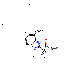 COC(=O)C1(c2nc3c(OC)cccn3n2)CC1